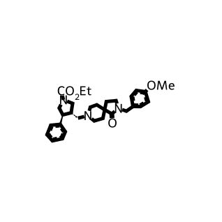 CCOC(=O)N1C[C@H](CN2CCC3(CC2)CCN(Cc2ccc(OC)cc2)C3=O)[C@@H](c2ccccc2)C1